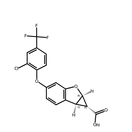 O=C(O)[C@H]1[C@@H]2Oc3cc(Oc4ccc(C(F)(F)F)cc4Cl)ccc3[C@@H]21